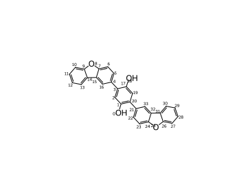 Oc1cc(-c2ccc3oc4ccccc4c3c2)c(O)cc1-c1ccc2oc3ccccc3c2c1